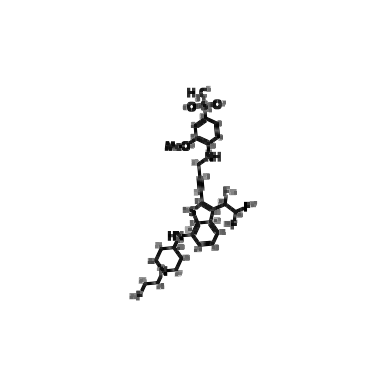 COc1cc(S(C)(=O)=O)ccc1NCC#Cc1sc2c(NC3CCN(CCF)CC3)cccc2c1C(F)C(F)F